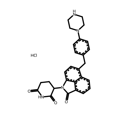 Cl.O=C1CCC(N2C(=O)c3cccc4c(Cc5ccc(N6CCNCC6)cc5)ccc2c34)C(=O)N1